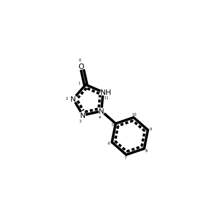 O=c1nnn(-c2ccccc2)[nH]1